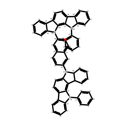 C1=CC2c3c(ccc4c5ccccc5n(-c5ccccc5)c34)N(c3ccc4cc(-n5c6ccccc6c6ccc7c8ccccc8n(-c8ccccc8)c7c65)ccc4c3)C2C=C1